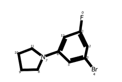 Fc1cc(Br)cc(N2CCCC2)c1